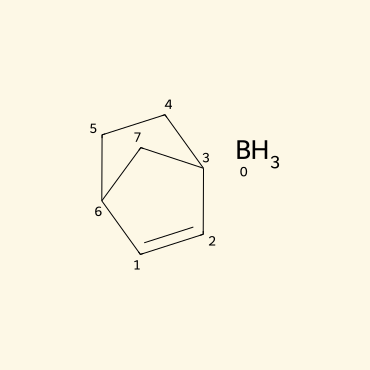 B.C1=CC2CCC1C2